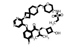 CCS(=O)(=O)N[C@@H]1CC[C@@H](CN2CCC3(CC2)CN(c2ncncc2Oc2ccc(F)cc2C(=O)N(C[C@H]2C[C@@H](O)C2)C(C)C)C3)OC1